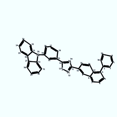 c1ccc(-c2cccc3cc(-c4nsc(-c5cccc(-n6c7ccccc7c7ccccc76)c5)n4)ccc23)cc1